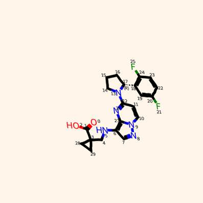 O=C(O)C1(CNc2cnn3ccc(N4CCC[C@@H]4c4cc(F)ccc4F)nc23)CC1